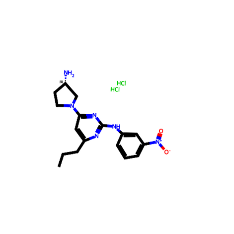 CCCc1cc(N2CC[C@H](N)C2)nc(Nc2cccc([N+](=O)[O-])c2)n1.Cl.Cl